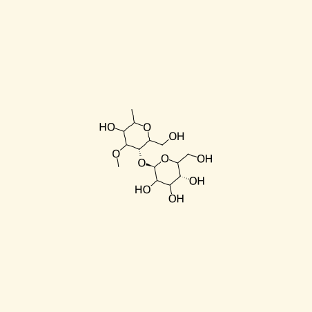 COC1C(O)C(C)OC(CO)[C@@H]1O[C@H]1OC(CO)[C@H](O)C(O)C1O